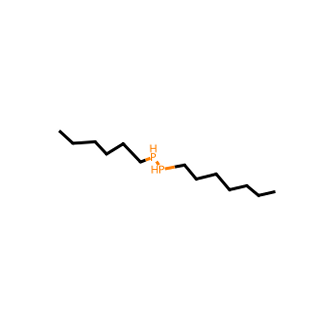 CCCCCCCPPCCCCCC